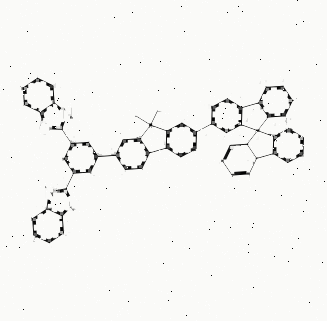 CC1(C)c2cc(-c3cc(-c4nc5ccccc5o4)cc(-c4nc5ccccc5o4)c3)ccc2-c2ccc(-c3ccc4c(c3)C3(c5ccccc5-4)c4ccccc4C4C=CC=CC43)cc21